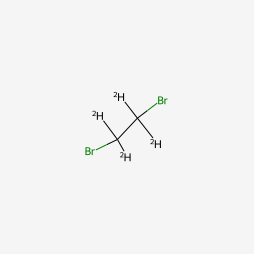 [2H]C([2H])(Br)C([2H])([2H])Br